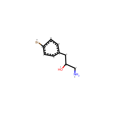 NCC(O)Cc1ccc(Br)cc1